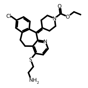 CCOC(=O)N1CCC(=C2c3ccc(Cl)cc3CCc3c(SCCN)ccnc32)CC1